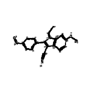 CCn1c(-c2ccc(N=O)cc2)c(C#N)c2ccc(OC)cc21